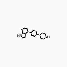 c1cc(-c2ccc(C3CCNCC3)cc2)c2cc[nH]c2n1